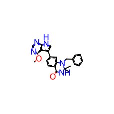 COc1ncnc2[nH]cc(-c3ccc4c(c3)N(Cc3ccccc3)C(C)(C)NC4=O)c12